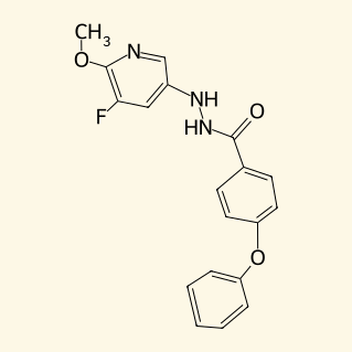 COc1ncc(NNC(=O)c2ccc(Oc3ccccc3)cc2)cc1F